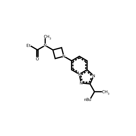 CCCCC(C)c1nc2ccc(N3CC(N(C)C(=O)CC)C3)cn2n1